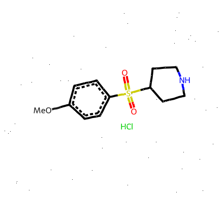 COc1ccc(S(=O)(=O)C2CCNCC2)cc1.Cl